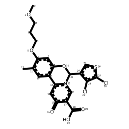 COCCCOc1cc2c(cc1C)-c1cc(=O)c(C(=O)O)cn1C(c1csc(Cl)c1Cl)O2